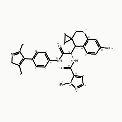 CC1=NCC(C)=C1c1ccc(NC(=O)[C@@H](NC(=O)c2ccnn2C(C)C)C2c3ccc(F)cc3OCC23CC3)cc1